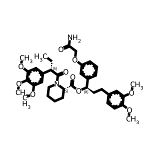 CC[C@H](C(=O)N1CCCC[C@H]1C(=O)O[C@H](CCc1ccc(OC)c(OC)c1)c1cccc(OCC(N)=O)c1)c1cc(OC)c(OC)c(OC)c1